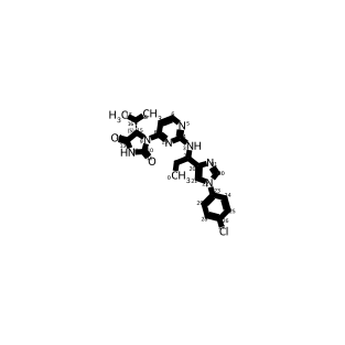 CCC(Nc1nccc(N2C(=O)NC(=O)[C@@H]2C(C)C)n1)c1cn(-c2ccc(Cl)cc2)cn1